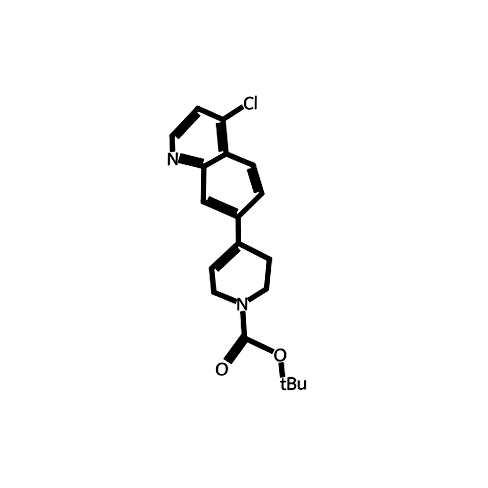 CC(C)(C)OC(=O)N1CC=C(c2ccc3c(Cl)ccnc3c2)CC1